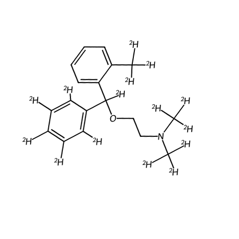 [2H]c1c([2H])c([2H])c(C([2H])(OCCN(C([2H])([2H])[2H])C([2H])([2H])[2H])c2ccccc2C([2H])([2H])[2H])c([2H])c1[2H]